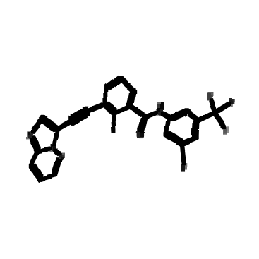 Cc1c(C#Cc2cnc3cccnn23)cccc1C(=O)Nc1cc(F)cc(C(F)(F)F)c1